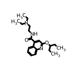 CCC(CC)Oc1cc(C(=O)NCCN(CC)CC)c2ccccc2n1